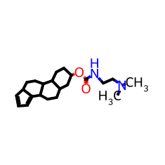 CN(C)CCNC(=O)OC1CCC2C(CCC3C4=CC=CC4CCC32)C1